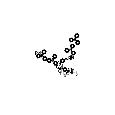 CC(C)(N)c1ccc(-c2nc(Nc3ccc(CCn4ccnc4)cc3)ncc2Cl)cc1.[Pd].c1ccc(P(c2ccccc2)c2ccccc2)cc1.c1ccc(P(c2ccccc2)c2ccccc2)cc1.c1ccc(P(c2ccccc2)c2ccccc2)cc1.c1ccc(P(c2ccccc2)c2ccccc2)cc1